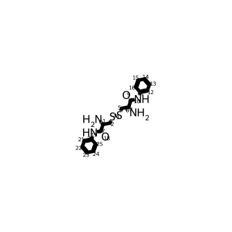 NC(CSSC[C@H](N)C(=O)Nc1ccccc1)C(=O)Nc1ccccc1